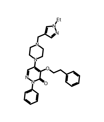 CCn1cc(CN2CCN(c3cnn(-c4ccccc4)c(=O)c3OCCc3ccccc3)CC2)cn1